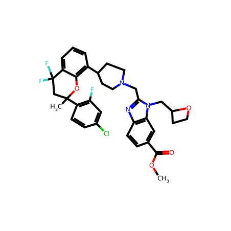 COC(=O)c1ccc2nc(CN3CCC(c4cccc5c4OC(C)(c4ccc(Cl)cc4F)CC5(F)F)CC3)n(CC3CCO3)c2c1